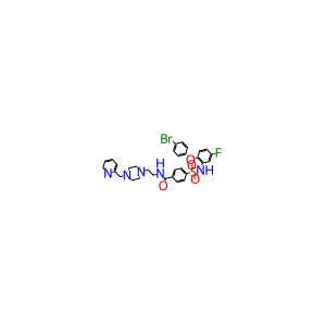 O=C(NCCN1CCN(Cc2ccccn2)CC1)c1ccc(S(=O)(=O)Nc2cc(F)ccc2Oc2ccc(Br)cc2)cc1